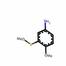 COSc1cc(N)ccc1OC